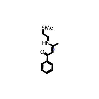 CSCCN/C(C)=C\C(=O)c1ccccc1